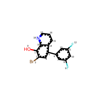 Oc1c(Br)cc(-c2cc(F)cc(F)c2)c2cccnc12